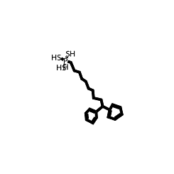 S[PH](S)(S)CCCCCCCCCC(c1ccccc1)c1ccccc1